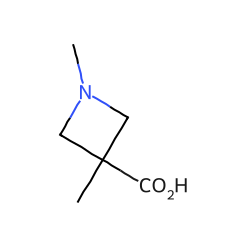 CN1CC(C)(C(=O)O)C1